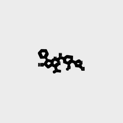 COc1cc(Nc2nc3c(c(N(C)C)n2)C[C@H](O)[C@H]3c2ccccc2)ccc1-n1cnc(Cl)c1